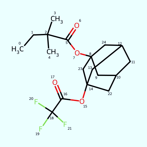 CCC(C)(C)C(=O)OC12CC3CC(CC(OC(=O)C(F)(F)F)(C3)C1)C2